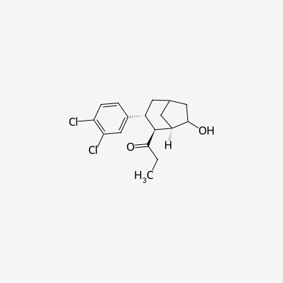 CCC(=O)[C@H]1[C@H](c2ccc(Cl)c(Cl)c2)CC2CC(O)[C@@H]1C2